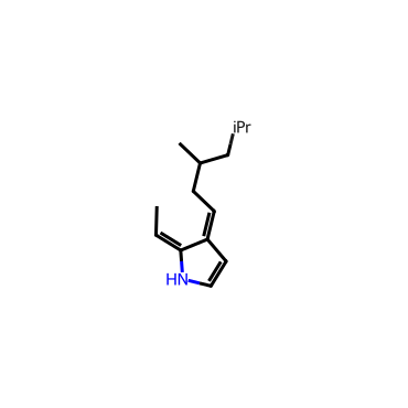 C/C=c1/[nH]cc/c1=C/CC(C)CC(C)C